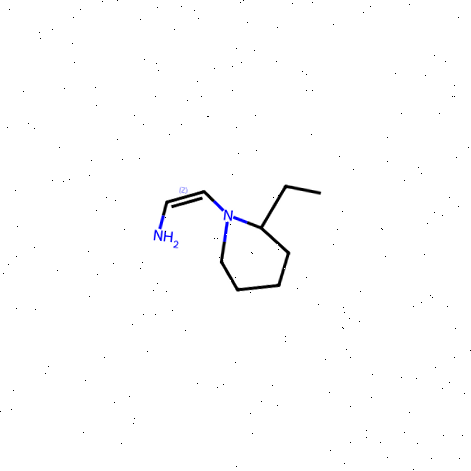 CCC1CCCCN1/C=C\N